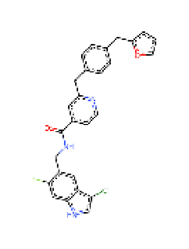 O=C(NCc1cc2c(Cl)c[nH]c2cc1F)c1ccnc(Cc2ccc(Cc3ccco3)cc2)c1